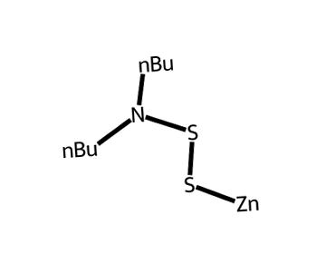 CCCCN(CCCC)S[S][Zn]